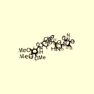 COc1cc(C(=O)NC2CCN(P(=O)(Cl)OC[C@@H]3CNC[C@H](n4cc(C)c(=O)[nH]c4=O)O3)CC2)cc(OC)c1OC